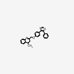 C[C@@H]1CC(COc2ccc(-c3ncoc3-c3ccccc3)cc2)=Nc2ccccc21